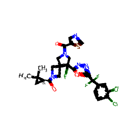 CC1(C)C[C@@H]1C(=O)N1CC2(CN(C(=O)c3cncs3)CC2(F)c2nnc(C(F)(F)c3ccc(Cl)c(Cl)c3)o2)C1